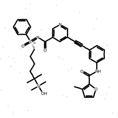 Cc1ccoc1C(=O)Nc1cccc(C#Cc2cncc(C(=O)N=[S@](=O)(CCCCC(C)(C)[Si](C)(C)O)c3ccccc3)c2)c1